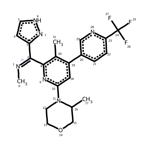 C/N=C(/c1cc[nH]n1)c1nc(N2CCOCC2C)cc(-c2ccc(C(F)(F)F)nc2)c1C